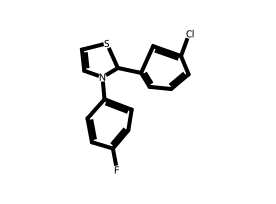 Fc1ccc(N2C=CSC2c2cccc(Cl)c2)cc1